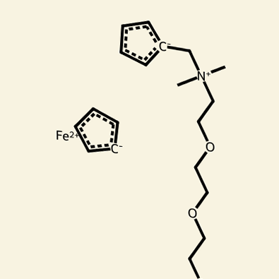 C[N+](C)(CCOCCOCCBr)C[c-]1cccc1.[Fe+2].c1cc[cH-]c1